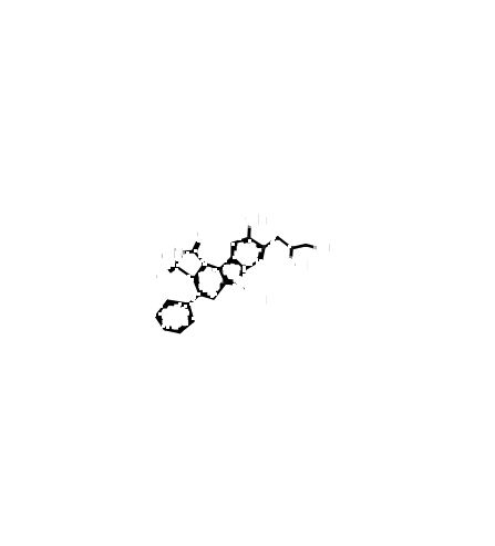 Cn1c2cc(CC(O)CO)c(O)cc2c2c3c(c(-c4ccccc4)cc21)C(=O)NC3=O